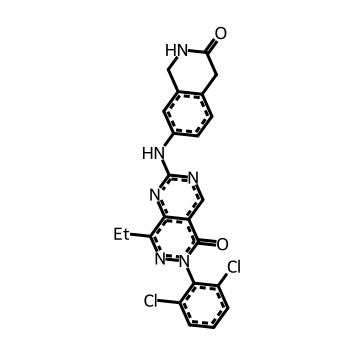 CCc1nn(-c2c(Cl)cccc2Cl)c(=O)c2cnc(Nc3ccc4c(c3)CNC(=O)C4)nc12